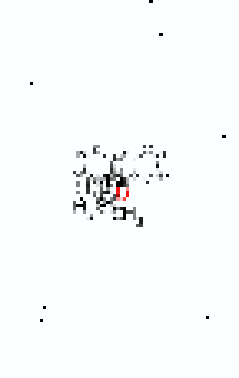 C[Si](C)(C)O[SiH](C1CCCCC1)C1CCCCC1